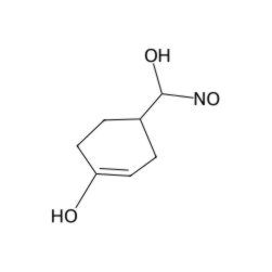 O=NC(O)C1CC=C(O)CC1